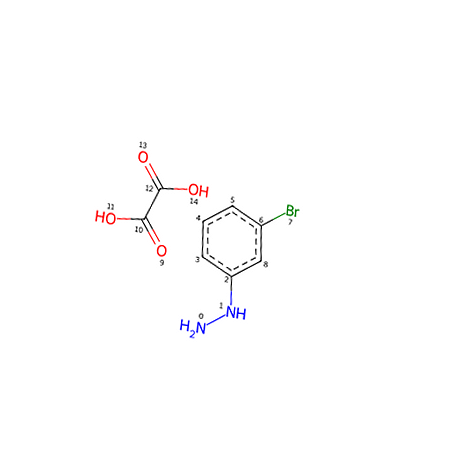 NNc1cccc(Br)c1.O=C(O)C(=O)O